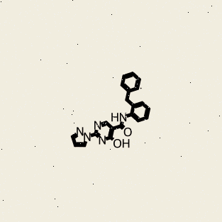 O=C(Nc1ccccc1Cc1[c]cccc1)c1cnc(-n2cccn2)nc1O